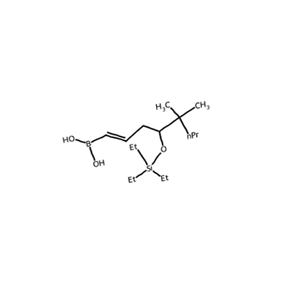 CCCC(C)(C)C(C/C=C/B(O)O)O[Si](CC)(CC)CC